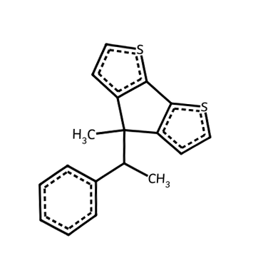 CC(c1ccccc1)C1(C)c2ccsc2-c2sccc21